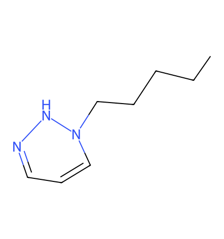 CCCCCN1C=CC=NN1